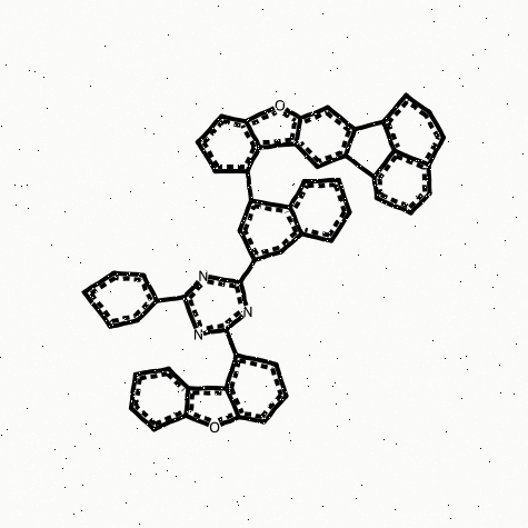 c1ccc(-c2nc(-c3cc(-c4cccc5oc6cc7c(cc6c45)-c4cccc5cccc-7c45)c4ccccc4c3)nc(-c3cccc4oc5ccccc5c34)n2)cc1